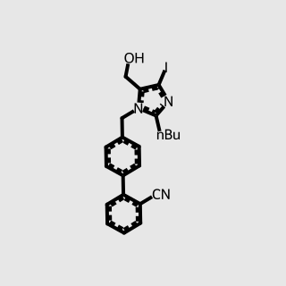 CCCCc1nc(I)c(CO)n1Cc1ccc(-c2ccccc2C#N)cc1